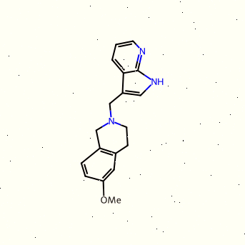 COc1ccc2c(c1)CCN(Cc1c[nH]c3ncccc13)C2